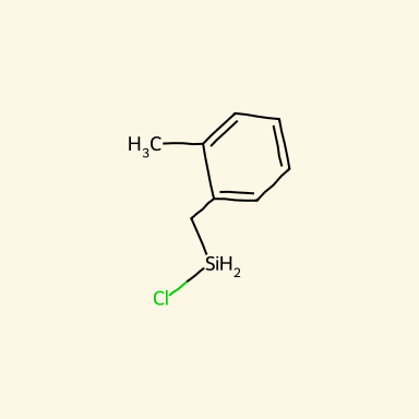 Cc1ccccc1C[SiH2]Cl